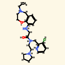 CCN1CCOc2c(cccc2NCC(=O)N(CCN2CCCC2)Cc2ncccc2Cl)C1